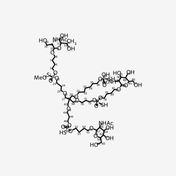 COSP(=O)(OCCCCOC(OC(CO)[C@@H](C)O)[C@H](CO)NC(C)=O)OCCCOCC(COCCCCCCOP(=O)(O)S)(COCCCOP(=O)(S)OCCCCOC1OC(CO)C(O)C(O)C1NC(C)=O)COCCCOP(=O)(S)OCCCCOC1OC(CO)C(O)C(O)C1NC(C)=O